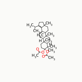 CC(=O)OC1(OC(C)=O)CC[C@]2(C)[C@H]3CC=C4C5=C(C(C)C)CC[C@]5(C)CC[C@@]4(C)[C@]3(C)CC[C@H]2C1(C)C